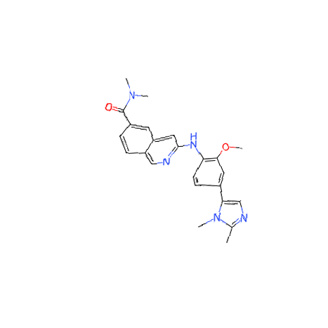 COc1cc(-c2cnc(C)n2C)ccc1Nc1cc2cc(C(=O)N(C)C)ccc2cn1